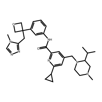 CC(C)C1CN(C)CCN1Cc1cc(C(=O)Nc2cccc(C3(Cc4nncn4C)COC3)c2)nc(C2CC2)c1